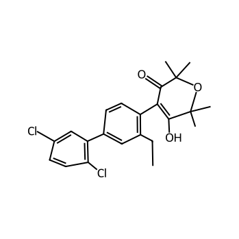 CCc1cc(-c2cc(Cl)ccc2Cl)ccc1C1=C(O)C(C)(C)OC(C)(C)C1=O